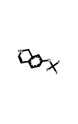 FC(F)(F)Oc1ccc2c(c1)CNC=C2